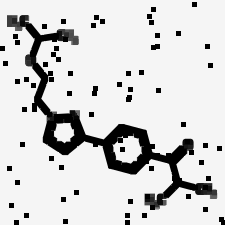 CC(C)OCCn1ccc(-c2ccc(C(=O)C(C)C)cc2)n1